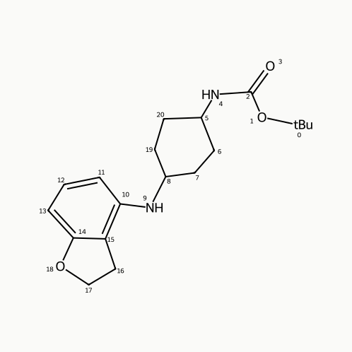 CC(C)(C)OC(=O)NC1CCC(Nc2cccc3c2CCO3)CC1